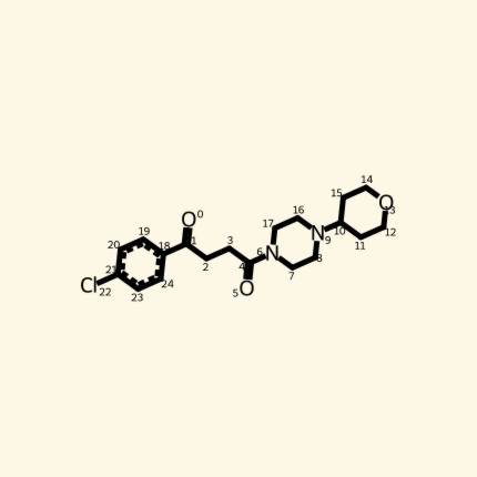 O=C(CCC(=O)N1CCN(C2CCOCC2)CC1)c1ccc(Cl)cc1